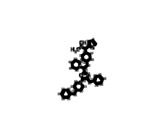 CN(C)C(c1cccs1)C1CCC(CC(c2nc(Cc3ccccc3)c(N3CCC(Cc4ccccc4)CC3)o2)N2CCCCC2)CC1